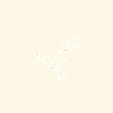 NC(=O)[C@H](N)CC(=O)N[C@@H]1c2ccccc2C[C@H]1NC(=O)Oc1cc2sc(Cl)c(Cl)c2[nH]1